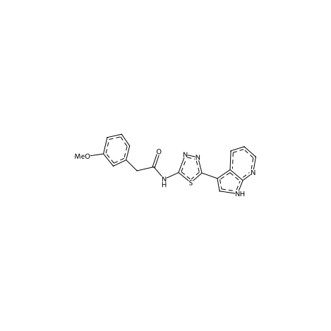 COc1cccc(CC(=O)Nc2nnc(-c3c[nH]c4ncccc34)s2)c1